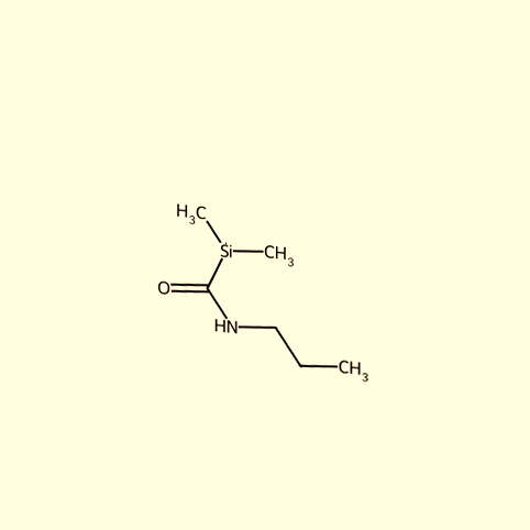 CCCNC(=O)[Si](C)C